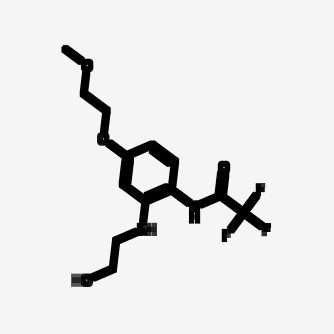 COCCOc1ccc(NC(=O)C(F)(F)F)c(NCCO)c1